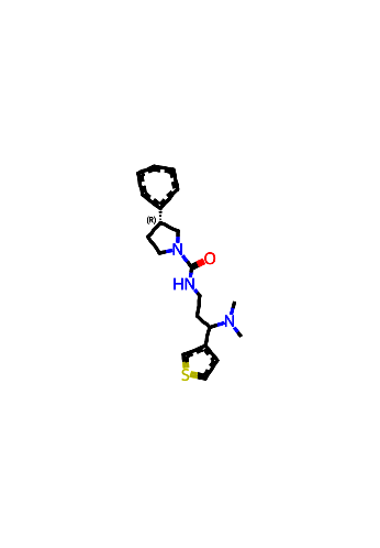 CN(C)C(CCNC(=O)N1CC[C@H](c2ccccc2)C1)c1ccsc1